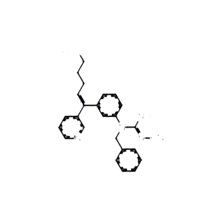 N#CN=C(N)N(Cc1ccccc1)c1cccc(/C(=C\CCCC(=O)O)c2cccnc2)c1